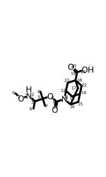 CONC(C)C(C)(C)OC(=O)N1C2CC3CC1CC(C(=O)O)(C3)C2